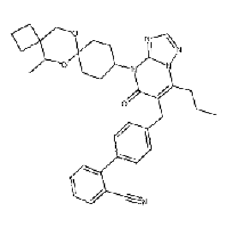 CCCc1c(Cc2ccc(-c3ccccc3C#N)cc2)c(=O)n(C2CCC3(CC2)OCC2(CCC2)C(C)O3)c2ncnn12